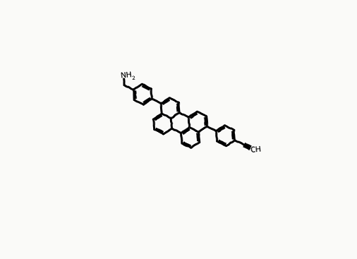 C#Cc1ccc(-c2ccc3c4c(cccc24)C2C=CC=C4C(c5ccc(CN)cc5)=CC=C3C42)cc1